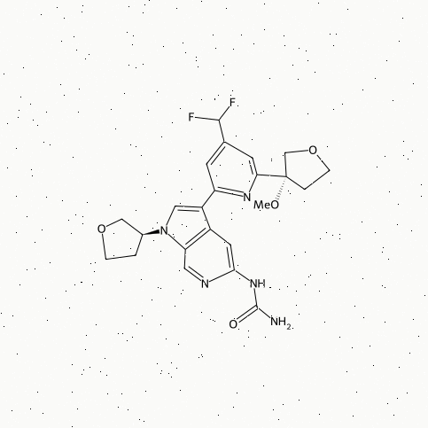 CO[C@@]1(c2cc(C(F)F)cc(-c3cn([C@H]4CCOC4)c4cnc(NC(N)=O)cc34)n2)CCOC1